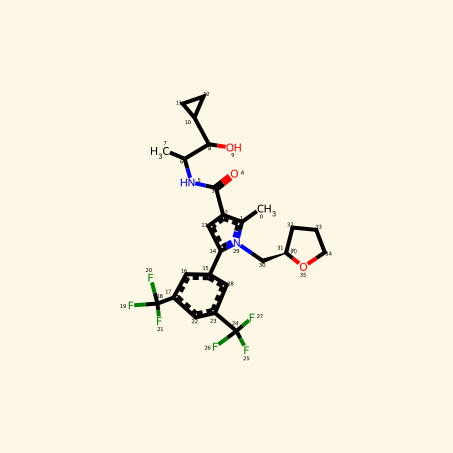 Cc1c(C(=O)NC(C)C(O)C2CC2)cc(-c2cc(C(F)(F)F)cc(C(F)(F)F)c2)n1C[C@H]1CCCO1